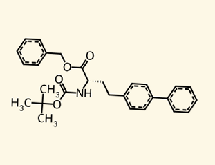 CC(C)(C)OC(=O)N[C@@H](CCc1ccc(-c2ccccc2)cc1)C(=O)OCc1ccccc1